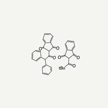 CC(C)(C)C(=O)C1C(=O)c2ccccc2C1=O.O=C1c2ccccc2C(=O)C1C(=O)C(c1ccccc1)c1ccccc1